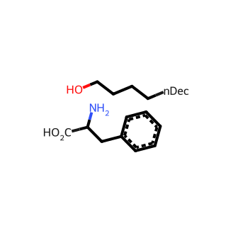 CCCCCCCCCCCCCCO.NC(Cc1ccccc1)C(=O)O